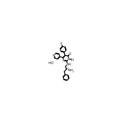 CCn1c(NC[C@H](N)Cc2ccccc2)nc(-c2ccncc2)c(-c2ccc(F)cc2)c1=O.Cl